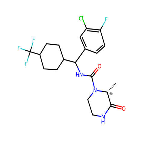 C[C@@H]1C(=O)NCCN1C(=O)NC(c1ccc(F)c(Cl)c1)C1CCC(C(F)(F)F)CC1